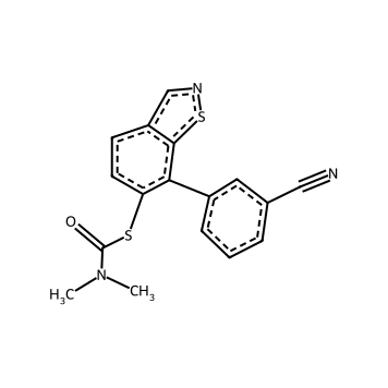 CN(C)C(=O)Sc1ccc2cnsc2c1-c1cccc(C#N)c1